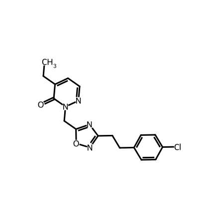 CCc1ccnn(Cc2nc(CCc3ccc(Cl)cc3)no2)c1=O